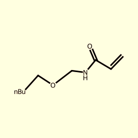 C=CC(=O)NCOCCCCC